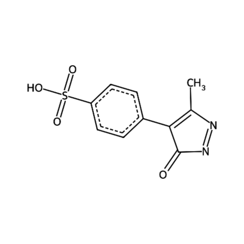 CC1=C(c2ccc(S(=O)(=O)O)cc2)C(=O)N=N1